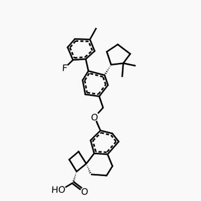 Cc1ccc(F)c(-c2ccc(COc3ccc4c(c3)[C@]3(CCC4)CC[C@H]3C(=O)O)cc2[C@@H]2CCCC2(C)C)c1